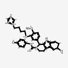 COc1ccc(C2c3[nH]c4c(c3CCN2C(=O)Oc2ccc(Cl)cc2)=CC(Cl)CC=4)cc1OCCCCn1cncn1